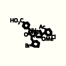 COC(=C/N(C)C(Cc1ccccc1Br)C(=O)Nc1ccc(C(=O)O)cc1)/C(=C\C=O)c1cc(Cl)ccc1C(C)=O